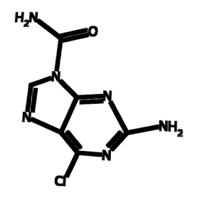 NC(=O)n1cnc2c(Cl)nc(N)nc21